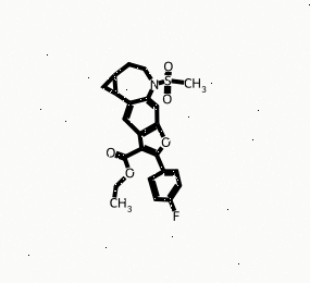 CCOC(=O)c1c(-c2ccc(F)cc2)oc2cc3c(cc12)C1CC1CCN3S(C)(=O)=O